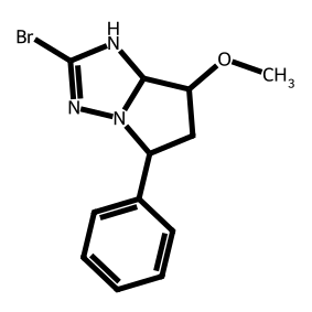 COC1CC(c2ccccc2)N2N=C(Br)NC12